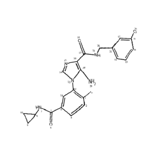 Cc1ccc(C(=O)NC2CC2)cc1-n1cnc(C(=O)NCc2cccc(Cl)c2)c1N